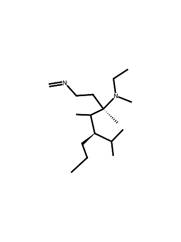 C=NCC[C@](C)(C(C)[C@H](CCC)C(C)C)N(C)CC